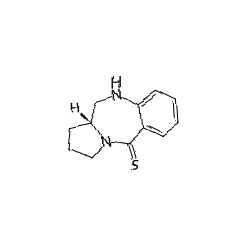 S=C1c2ccccc2NC[C@H]2CCCN12